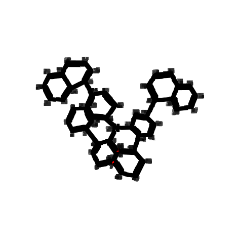 c1ccc(-c2ccccc2N(c2ccc(-c3cccc4ccccc34)cc2)c2cc(-c3cccc4ccccc34)ccc2-c2ccccc2)cc1